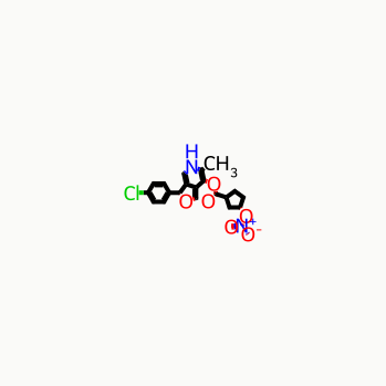 CC1=C(OC(=O)C2CCC(O[N+](=O)[O-])C2)C2=COC(c3ccc(Cl)cc3)C2=CN1